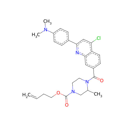 C=CCCOC(=O)N1CCN(C(=O)c2ccc3c(Cl)cc(-c4ccc(N(C)C)cc4)nc3c2)C(C)C1